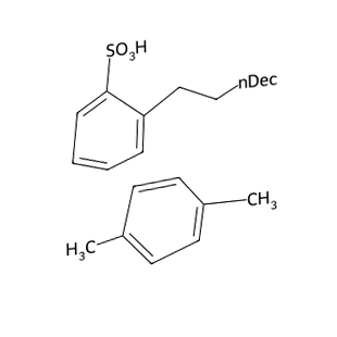 CCCCCCCCCCCCc1ccccc1S(=O)(=O)O.Cc1ccc(C)cc1